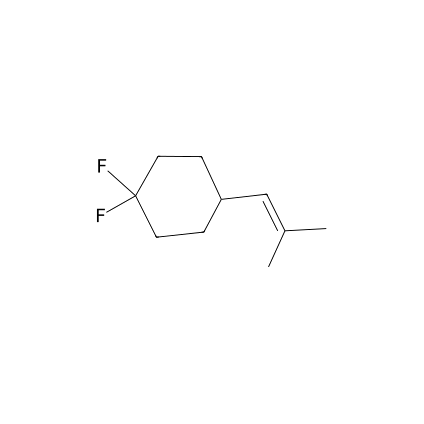 CC(C)=CC1CCC(F)(F)CC1